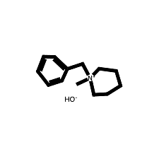 C[N+]1(Cc2ccccc2)CCCCC1.[OH-]